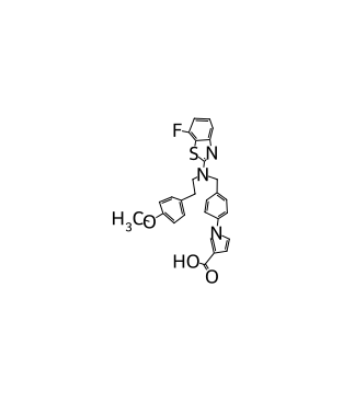 COc1ccc(CCN(Cc2ccc(-n3ccc(C(=O)O)c3)cc2)c2nc3cccc(F)c3s2)cc1